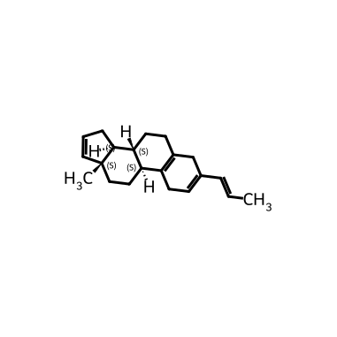 CC=CC1=CCC2=C(CC[C@@H]3[C@@H]2CC[C@]2(C)C=CC[C@@H]32)C1